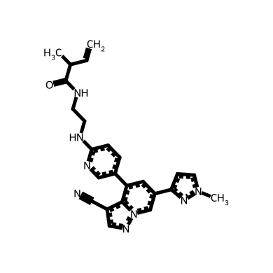 C=CC(C)C(=O)NCCNc1ccc(-c2cc(-c3ccn(C)n3)cn3ncc(C#N)c23)cn1